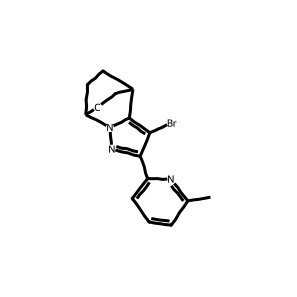 Cc1cccc(-c2nn3c(c2Br)C2CCC3CC2)n1